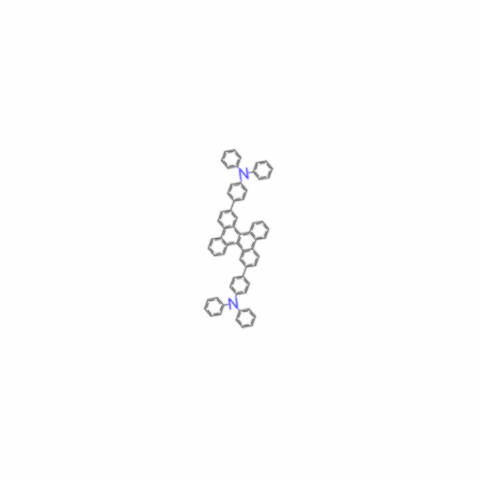 c1ccc(N(c2ccccc2)c2ccc(-c3ccc4c5ccccc5c5c6cc(-c7ccc(N(c8ccccc8)c8ccccc8)cc7)ccc6c6ccccc6c5c4c3)cc2)cc1